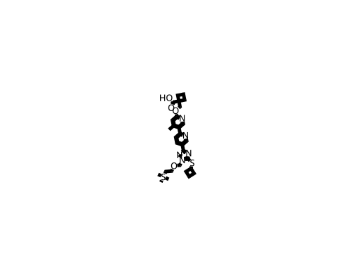 Cc1cc(OCC2(C(=O)O)CCC2)ncc1-c1ccc(-c2nc(SC3CCC3)n(COCCS(C)(C)C)n2)cn1